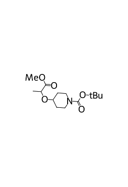 COC(=O)C(C)OC1CCN(C(=O)OC(C)(C)C)CC1